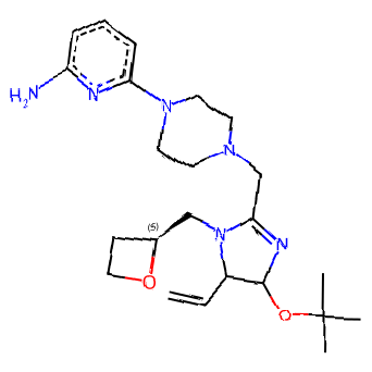 C=CC1C(OC(C)(C)C)N=C(CN2CCN(c3cccc(N)n3)CC2)N1C[C@@H]1CCO1